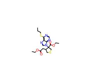 CCCSc1ncnc2c1ncn2C1(C(=O)OCC)CSCC1CC(=O)OCC